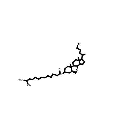 CCCCCCC(O)CCCCCCCCCCC(=O)OC1CCC2(C)C(=CCC3C2CCC2(C)C(C(C)CCCC(C)C)CCC32)C1